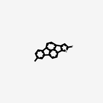 Cc1ccc2c(c1)-c1ccc3c4c(ccc-2c14)-c1cc(F)sc1-3